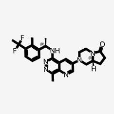 Cc1c([C@@H](C)Nc2nnc(C)c3ncc(N4CCN5C(=O)CC[C@@H]5C4)cc23)cccc1C(C)(F)F